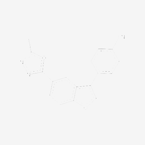 Cc1nnc(-c2ccc3occ(-c4ccc(C#N)cc4)c3c2)o1